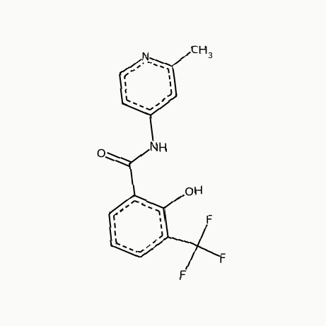 Cc1cc(NC(=O)c2cccc(C(F)(F)F)c2O)ccn1